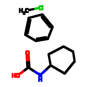 CCl.O=C(O)NC1CCCCC1.c1ccccc1